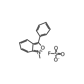 C[n+]1oc(-c2ccccc2)c2ccccc21.O=S(=O)([O-])F